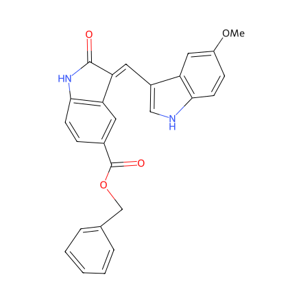 COc1ccc2[nH]cc(/C=C3/C(=O)Nc4ccc(C(=O)OCc5ccccc5)cc43)c2c1